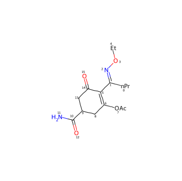 CCCC(=NOCC)C1=C(OC(C)=O)CC(C(N)=O)CC1=O